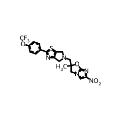 CC1(CN2Cc3nc(-c4ccc(OC(F)(F)F)cc4)sc3C2)Cn2cc([N+](=O)[O-])nc2O1